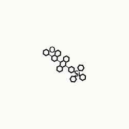 c1ccc([Si](c2ccccc2)(c2ccccc2)c2ccc(-c3c4ccccc4c(-c4ccc5c6c(cccc46)Oc4ccccc4-5)c4ccccc34)cc2)cc1